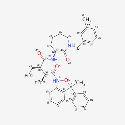 CCC[C@H](C(=O)NOC(C)(c1ccccc1)c1ccccc1)[C@@H](CC(C)C)C(=O)N[C@H]1CCCCN(Cc2cccc(C)c2)C1=O